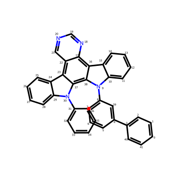 c1ccc(-c2cccc(-n3c4ccccc4c4c5ncncc5c5c6ccccc6n(-c6ccccc6)c5c43)c2)cc1